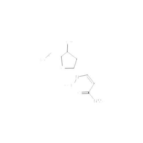 CNC(=O)/C=C\N(C=O)[C@H]1CC(O)[C@@H](CO)O1